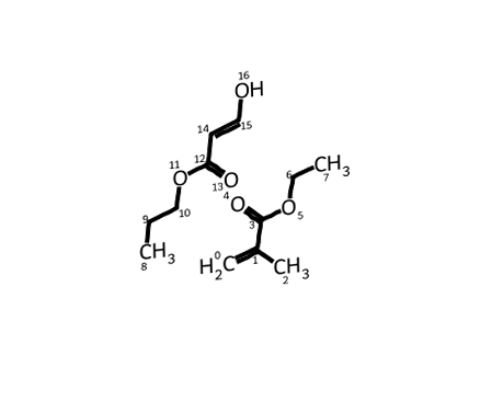 C=C(C)C(=O)OCC.CCCOC(=O)C=CO